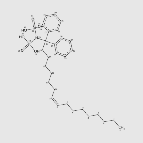 CCCCCCCC/C=C\CCCCCCC(c1ccccc1)(c1ccccc1)N(P(=O)(O)O)P(=O)(O)O